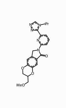 COCC1COc2cc3c(cc2O1)C(=O)N(c1cccc(-c2nncn2C(C)C)n1)C3